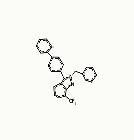 FC(F)(F)c1cccc2c(-c3ccc(-c4[c]cccc4)cc3)n(Cc3ccccc3)nc12